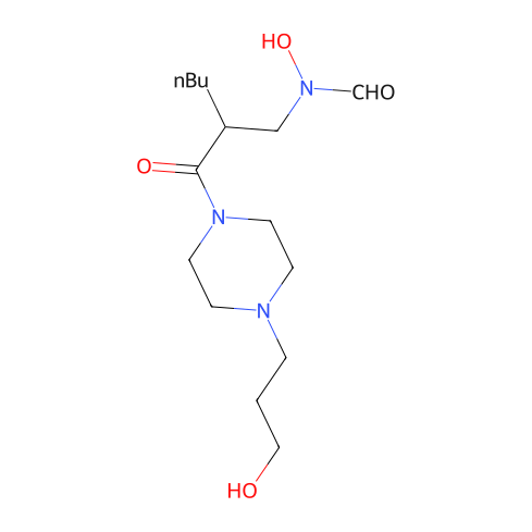 CCCCC(CN(O)C=O)C(=O)N1CCN(CCCO)CC1